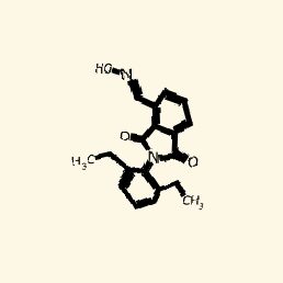 CCc1cccc(CC)c1N1C(=O)c2cccc(C=NO)c2C1=O